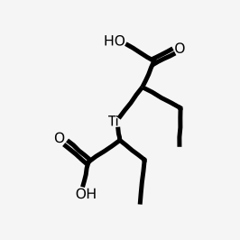 CC[CH]([Ti][CH](CC)C(=O)O)C(=O)O